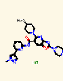 COC1CCN(c2nc3nc(N4CCNCC4)oc3cc2C(=O)Nc2cccc(-c3cnn(C)c3)n2)CC1.Cl